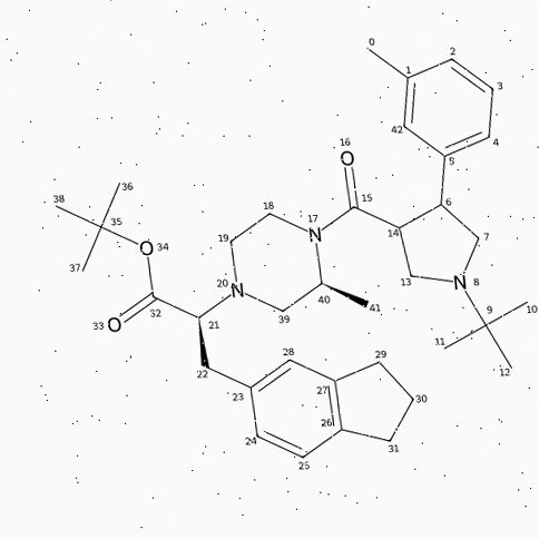 Cc1cccc(C2CN(C(C)(C)C)CC2C(=O)N2CCN([C@@H](Cc3ccc4c(c3)CCC4)C(=O)OC(C)(C)C)C[C@@H]2C)c1